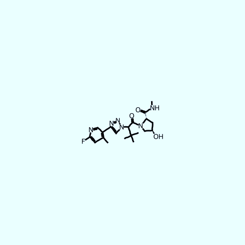 CNC(=O)[C@@H]1C[C@@H](O)CN1C(=O)C(n1cc(-c2cnc(F)cc2C)nn1)C(C)(C)C